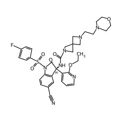 CCOc1ncccc1[C@@]1(NC(=O)N2CC3(CN(CCN4CCOCC4)C3)C2)C(=O)N(S(=O)(=O)c2ccc(F)cc2)c2ccc(C#N)cc21